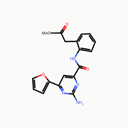 COC(=O)Cc1ccccc1NC(=O)c1cc(-c2ccco2)nc(N)n1